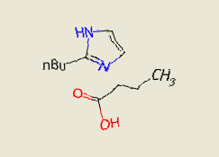 CCCC(=O)O.CCCCc1ncc[nH]1